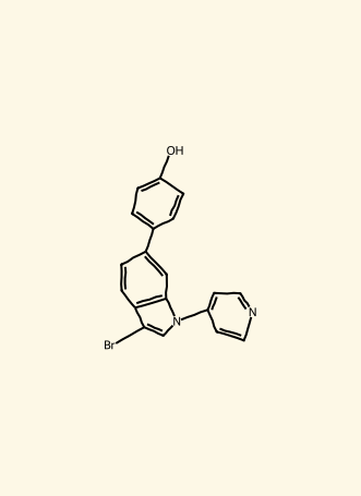 Oc1ccc(-c2ccc3c(Br)cn(-c4ccncc4)c3c2)cc1